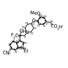 [C-]#[N+]c1ccc2c(C(O)(CN3CCC(Oc4ccc(CC(=O)O)cc4OC)CC3)C(F)(F)F)cn(CC)c2c1